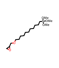 CO[Si](CCCCCCCCCCCOCC1CO1)(OC)OC